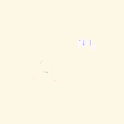 COc1ccc(CCCCN)cc1OC